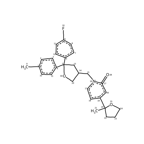 Cc1ccc(C2(c3ccc(F)cc3)CC(Cn3ccc(C4(C)CCCO4)cc3=O)CO2)cc1